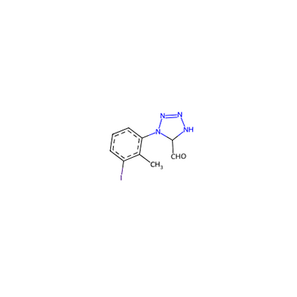 Cc1c(I)cccc1N1N=NNC1C=O